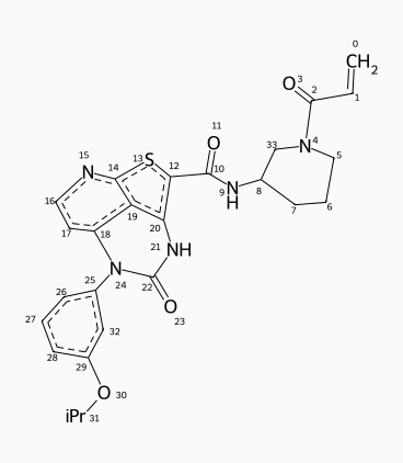 C=CC(=O)N1CCCC(NC(=O)c2sc3nccc4c3c2NC(=O)N4c2cccc(OC(C)C)c2)C1